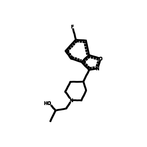 CC(O)CN1CCC(c2noc3cc(F)ccc23)CC1